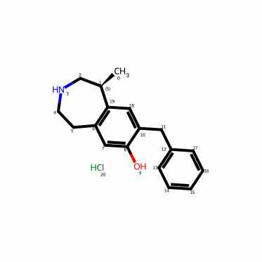 C[C@@H]1CNCCc2cc(O)c(Cc3ccccc3)cc21.Cl